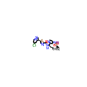 COCCC(NC(=O)c1ncc(-c2cnn3ccc(Cl)cc23)s1)c1cc(NS(=O)(=O)C2CC2)ccn1